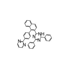 c1ccc(C2=NC(c3ccccc3)NC(c3ccc4ccccc4c3-c3ccc(-c4ncccn4)cc3)=N2)cc1